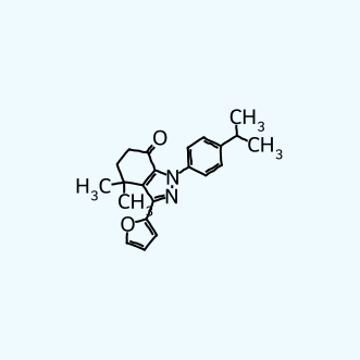 CC(C)c1ccc(-n2nc(-c3ccco3)c3c2C(=O)CCC3(C)C)cc1